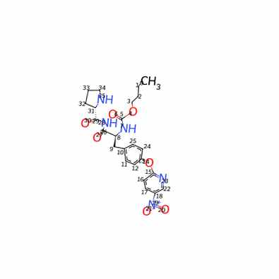 CCCCOC(=O)N[C@@H](Cc1ccc(Oc2ccc([N+](=O)[O-])cn2)cc1)C(=O)NC(=O)[C@@H]1CCCN1